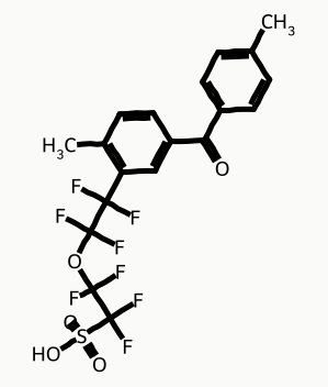 Cc1ccc(C(=O)c2ccc(C)c(C(F)(F)C(F)(F)OC(F)(F)C(F)(F)S(=O)(=O)O)c2)cc1